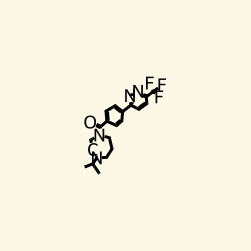 CC(C)N1CCCN(C(=O)c2ccc(-c3ccc(C(F)(F)F)nn3)cc2)CC1